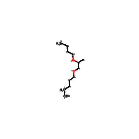 CO[SiH2]CCCOCC(C)OCCC[SiH3]